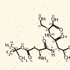 CC(C)[C@H](NC(=O)[C@@H](N)CC(=O)OC(C)(C)C)C(=O)N[C@@H](CO)C(=O)O